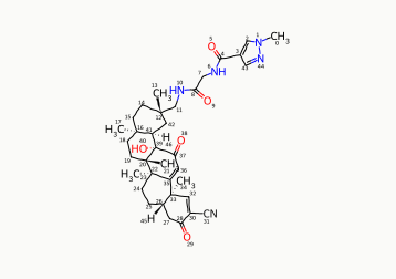 Cn1cc(C(=O)NCC(=O)NC[C@@]2(C)CC[C@]3(C)CC[C@@]4(C)[C@]5(C)CC[C@H]6CC(=O)C(C#N)=C[C@]6(C)C5=CC(=O)[C@]4(O)[C@@H]3C2)cn1